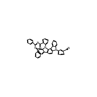 N#Cc1cccc(-n2c3ccccc3c3c2ccc2c4ccccc4n(-c4ccccc4-c4nc(-c5ccccc5)nc(-c5ccccc5)n4)c23)c1